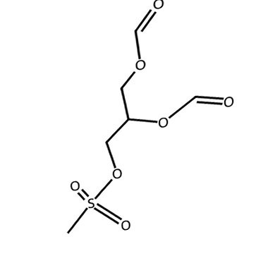 CS(=O)(=O)OCC(COC=O)OC=O